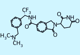 CN(C)Cc1cccc([C@@H](NC(=O)c2ccc3c(c2)CN(C2CCC(=O)NC2=O)C3=O)C(F)(F)F)c1